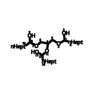 CCCCCCCC(O)OCC(COC(O)CCCCCCC)OC(O)CCCCCCC